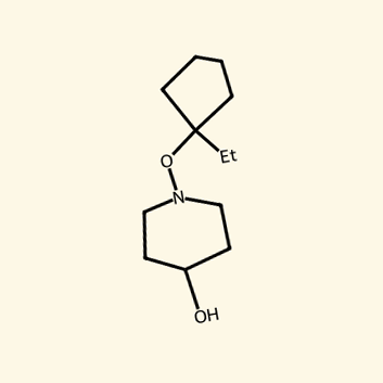 CCC1(ON2CCC(O)CC2)CCCC1